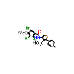 COc1c(Br)cc(C(=O)Nc2csc(-c3ccc(C)cc3)c2C(=O)O)c(Br)c1Br